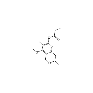 CCC(=O)Oc1cc2c(c(OC)c1C)COC(C)C2